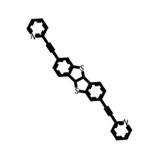 C(#Cc1ccccn1)c1ccc2c(c1)SC1c3ccc(C#Cc4ccccn4)cc3SC21